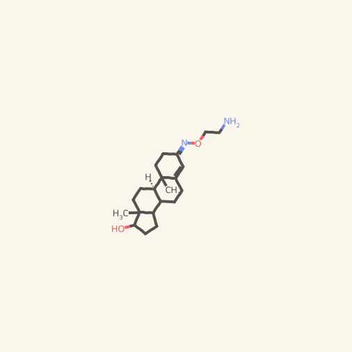 CC12CC[C@@H]3C(CCC4=CC(=NOCCN)CCC43C)C1CCC2O